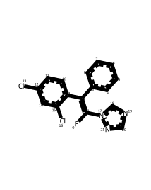 FC(=C(c1ccccc1)c1ccc(Cl)cc1Cl)n1cncn1